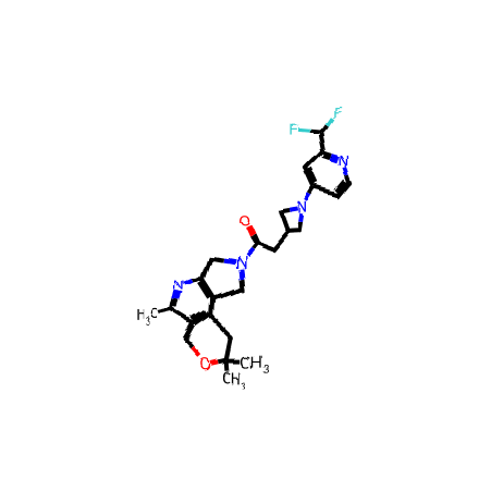 Cc1nc2c(c3c1COC(C)(C)C3)CN(C(=O)CC1CN(c3ccnc(C(F)F)c3)C1)C2